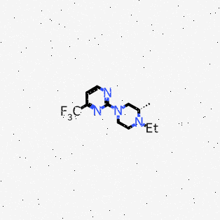 CCN1CCN(c2nccc(C(F)(F)F)n2)C[C@@H]1C